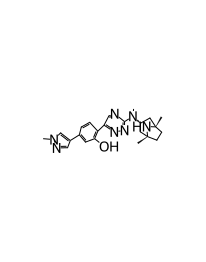 CN(c1ncc(-c2ccc(-c3cnn(C)c3)cc2O)nn1)[C@H]1C[C@]2(C)CC[C@](C)(C1)N2